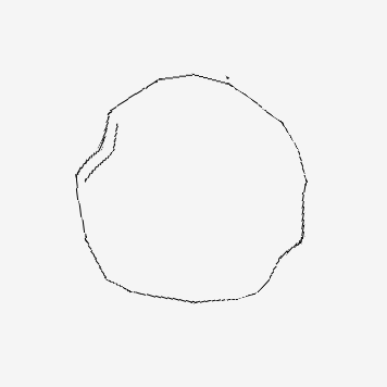 [CH]1CC=CCCCCCCC1